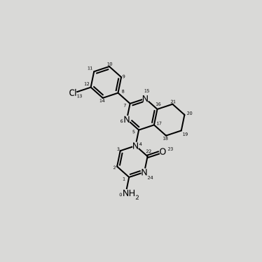 Nc1ccn(-c2nc(-c3cccc(Cl)c3)nc3c2CCCC3)c(=O)n1